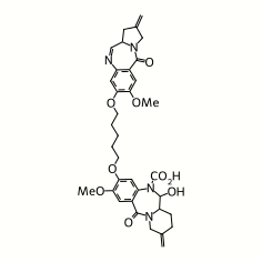 C=C1CC2C=Nc3cc(OCCCCCOc4cc5c(cc4OC)C(=O)N4CC(=C)CCC4C(O)N5C(=O)O)c(OC)cc3C(=O)N2C1